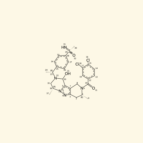 C[C@@H]1Cc2nn3c(c2CN1C(=O)c1ccc(Cl)c(Cl)c1)C(O)N([C@H](C)c1ccc([S@@](C)(=N)=O)cc1)C[C@H]3C